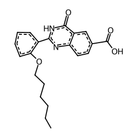 CCCCCCOc1ccccc1-c1nc2ccc(C(=O)O)cc2c(=O)[nH]1